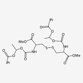 COC(=O)C(CSSCC(NC(=O)OC(C)OC(=O)C(C)C)C(=O)OC)NC(=O)OC(C)OC(=O)C(C)C